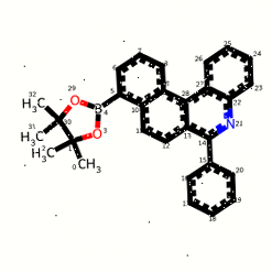 CC1(C)OB(c2cccc3c2ccc2c(-c4ccccc4)nc4ccccc4c23)OC1(C)C